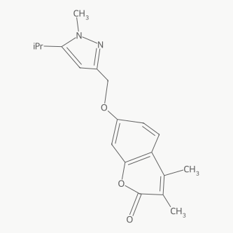 Cc1c(C)c2ccc(OCc3cc(C(C)C)n(C)n3)cc2oc1=O